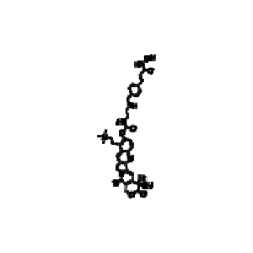 CC[C@@]1(O)C(=O)OCc2c1cc1n(c2=O)Cc2cc3c(CC[Si](C)(C)C)c(OC(=O)NCCNCc4ccc(/C=C/C(=O)NO)cc4)ccc3nc2-1